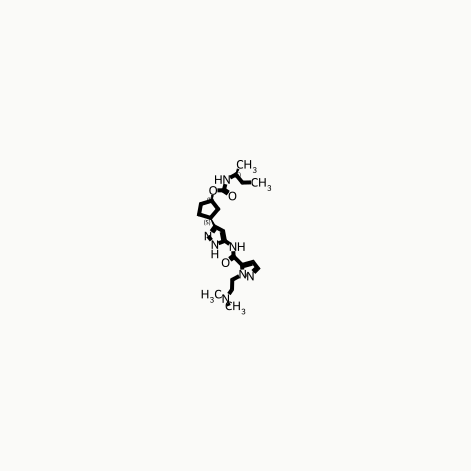 CC[C@H](C)NC(=O)O[C@@H]1CC[C@H](c2cc(NC(=O)c3ccnn3CCN(C)C)[nH]n2)C1